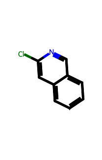 Clc1cc2c[c]ccc2cn1